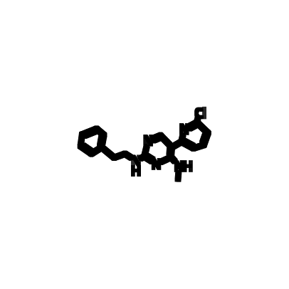 CNc1nc(NCCc2ccccc2)ncc1-c1cccc(Cl)n1